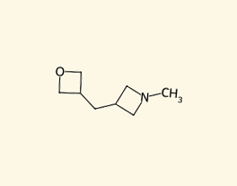 CN1CC(CC2COC2)C1